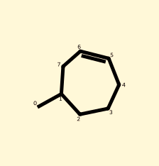 CC1[CH]CCC=CC1